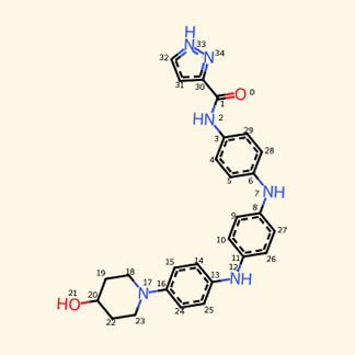 O=C(Nc1ccc(Nc2ccc(Nc3ccc(N4CCC(O)CC4)cc3)cc2)cc1)c1cc[nH]n1